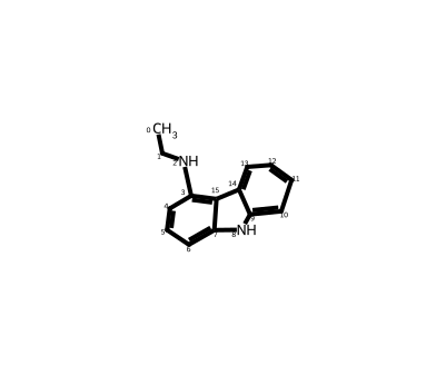 CCNc1cccc2[nH]c3ccccc3c12